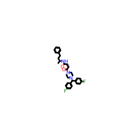 CC(CCc1ccccc1)NC(=O)/C=C\C(=O)N1CCN(C(c2ccc(F)cc2)c2ccc(F)cc2)CC1